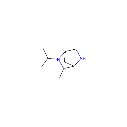 CC(C)N1C2CNC(C2)C1C